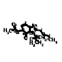 CCCCC1=NC2C=CC(CC(C)=O)C(=O)C2N1C(C)(C)C